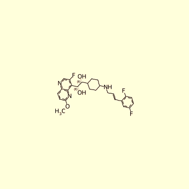 COc1ccc2ncc(F)c([C@@H](O)[C@H](O)C3CCC(NCC=Cc4cc(F)ccc4F)CC3)c2n1